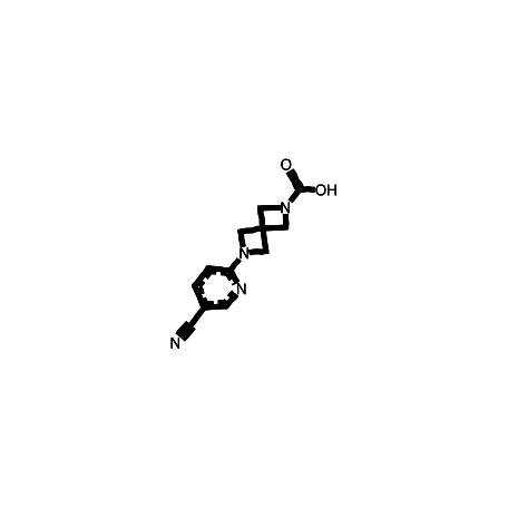 N#Cc1ccc(N2CC3(CN(C(=O)O)C3)C2)nc1